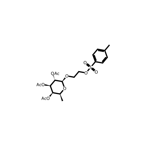 CC(=O)O[C@H]1[C@H](OC(C)=O)[C@@H](OCCOS(=O)(=O)c2ccc(C)cc2)O[C@@H](C)[C@H]1OC(C)=O